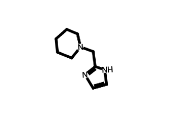 c1c[nH]c(CN2CCCCC2)n1